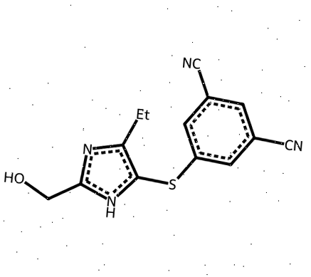 CCc1nc(CO)[nH]c1Sc1cc(C#N)cc(C#N)c1